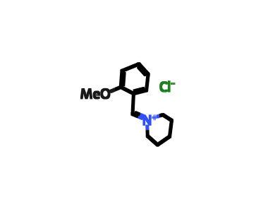 COc1ccccc1C=[N+]1CCCCC1.[Cl-]